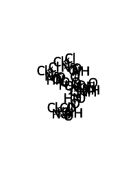 CN1Cc2c(Cl)cc(Cl)cc2[C@H](c2cccc(S(=O)(=O)NCCOCCOCCNC(=O)CCC(CCC(N)=O)(CCC(=O)N(CCOCCOCCNS(=O)(=O)c3cccc([C@@H]4CN(C)Cc5c(Cl)cc(Cl)cc54)c3)CCOCCOCCNS(=O)(=O)c3cccc([C@@H]4CN(C)Cc5c(Cl)cc(Cl)cc54)c3)NC(=O)NCCN3CCOCC3)c2)C1